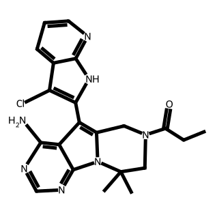 CCC(=O)N1Cc2c(-c3[nH]c4ncccc4c3Cl)c3c(N)ncnc3n2C(C)(C)C1